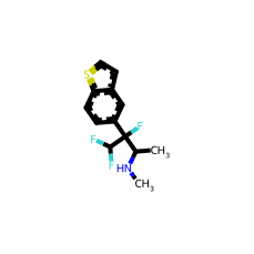 CNC(C)C(F)(c1ccc2sccc2c1)C(F)F